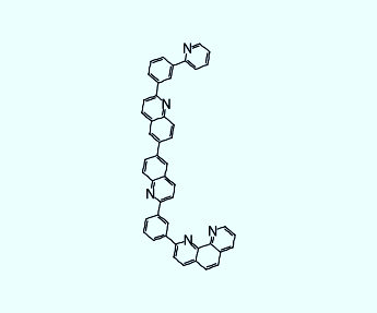 c1ccc(-c2cccc(-c3ccc4cc(-c5ccc6nc(-c7cccc(-c8ccc9ccc%10cccnc%10c9n8)c7)ccc6c5)ccc4n3)c2)nc1